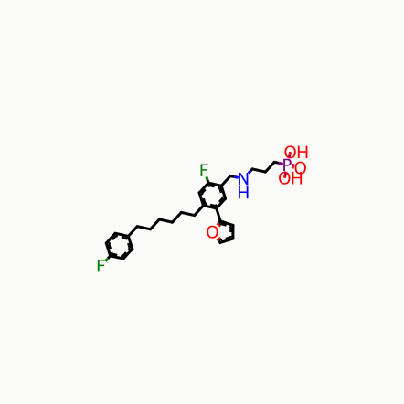 O=P(O)(O)CCCNCc1cc(-c2ccco2)c(CCCCCCc2ccc(F)cc2)cc1F